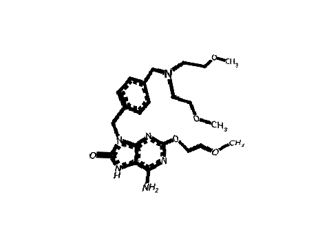 COCCOc1nc(N)c2[nH]c(=O)n(Cc3ccc(CN(CCOC)CCOC)cc3)c2n1